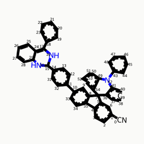 N#Cc1ccc2c(c1)C1(c3cc(-c4ccc(C5NC(c6ccccc6)=C6C=CC=CC6N5)cc4)ccc3-2)c2ccccc2N(c2ccccc2)c2ccccc21